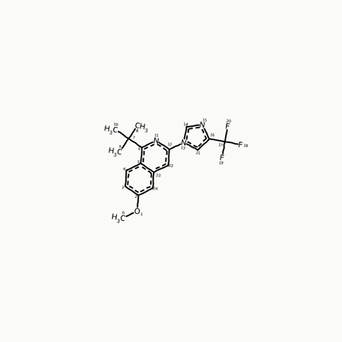 COc1ccc2c(C(C)(C)C)nc(-n3cnc(C(F)(F)F)c3)cc2c1